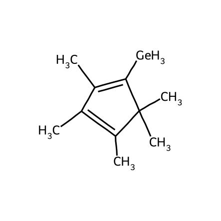 CC1=C(C)C(C)(C)[C]([GeH3])=C1C